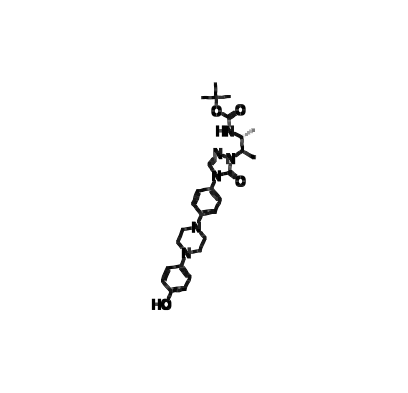 C[C@H]([C@@H](C)NC(=O)OC(C)(C)C)n1ncn(-c2ccc(N3CCN(c4ccc(O)cc4)CC3)cc2)c1=O